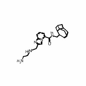 NCCNCc1cn2c(C(=O)NCC34CC5CC6CC(C3)C6(C5)C4)cccc2n1